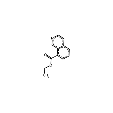 CCOC(=O)c1cccc2ccncc12